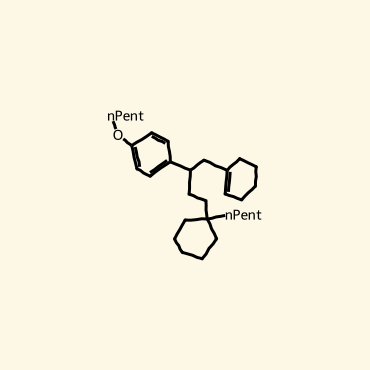 CCCCCOc1ccc(C(CCC2(CCCCC)CCCCC2)CC2=CCCCC2)cc1